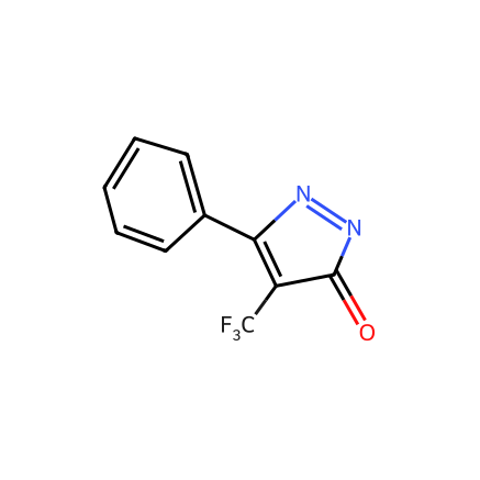 O=C1N=NC(c2ccccc2)=C1C(F)(F)F